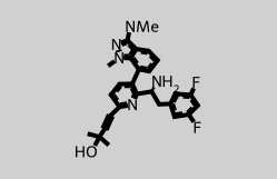 CNc1nn(C)c2c(-c3ccc(C#CC(C)(C)O)nc3[C@@H](N)Cc3cc(F)cc(F)c3)cccc12